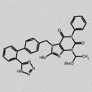 CCCCc1nc2c(c(=O)n(-c3ccccc3)c(=O)n2C(C)OC)n1Cc1ccc(-c2ccccc2-c2nnn[nH]2)cc1